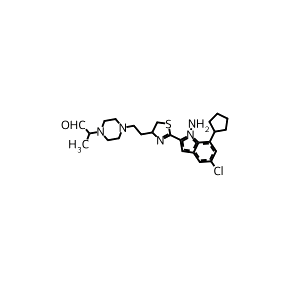 CC(C=O)N1CCN(CCC2CSC(c3cc4cc(Cl)cc(C5CCCC5)c4n3N)=N2)CC1